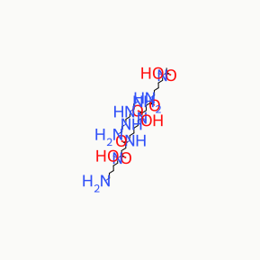 CC(=O)N(O)CCCCCNC(=O)CCC(=O)N(O)CCCCCNC(=O)CCC(=O)N(O)CCCCCN.NCCNCCNCCN